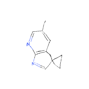 Cc1cnc2c(c1)C1(C=N2)CC1